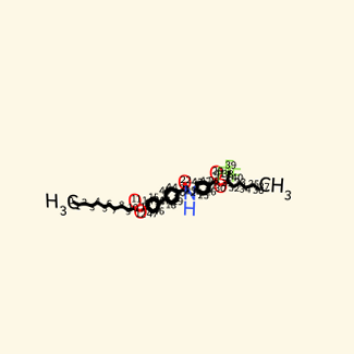 CCCCCCCCCCC(=O)Oc1ccc(-c2ccc(C(=O)Nc3ccc(C(=O)OC(CCCCCC)C(F)(F)F)cc3)cc2)cc1